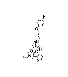 CC(C(=O)O[C@H]1C[N+]2(CCCOc3ccc(F)cc3)CCC1CC2)(c1cccs1)N1CCCCC1